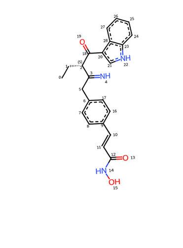 CC[C@@H](C(=N)Cc1ccc(C=CC(=O)NO)cc1)C(=O)c1c[nH]c2ccccc12